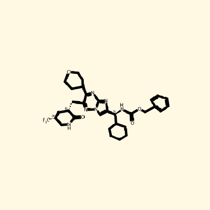 O=C(N[C@H](c1cn2nc(C[C@H]3C[C@@H](C(F)(F)F)CNC3=O)c(C3CCOCC3)nc2n1)C1CCCCC1)OCc1ccccc1